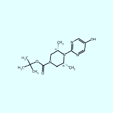 C[C@@H]1CN(C(=O)OC(C)(C)C)C[C@H](C)N1c1ncc(O)cn1